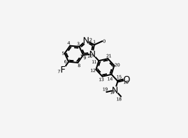 Cc1nc2ccc(F)cc2n1-c1ccc(C(=O)N(C)C)cc1